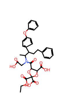 CCOC(=O)C1(C(=O)O)OC(C(=O)O)C(C(=O)N(CC(=O)O)C(C)C(CCc2ccccc2)c2ccc(Oc3ccccc3)cc2)O1